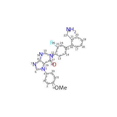 COc1ccc(-n2cnc3ncn(-c4ccc(-c5ccccc5CN)cc4F)c(=O)c32)cc1